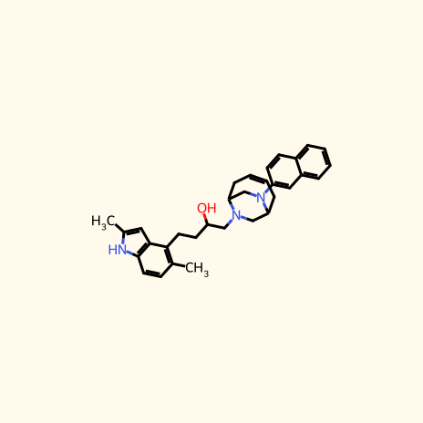 Cc1cc2c(CCC(O)CN3CC4C/C=C\CC3CN4c3ccc4ccccc4c3)c(C)ccc2[nH]1